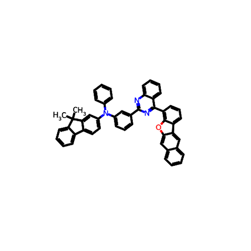 CC1(C)c2ccccc2-c2ccc(N(c3ccccc3)c3cccc(-c4nc(-c5cccc6c5oc5cc7ccccc7cc56)c5ccccc5n4)c3)cc21